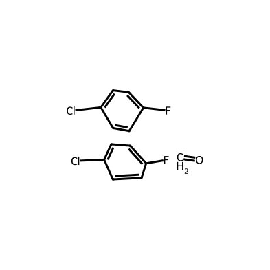 C=O.Fc1ccc(Cl)cc1.Fc1ccc(Cl)cc1